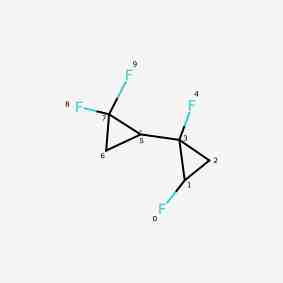 FC1CC1(F)[C]1CC1(F)F